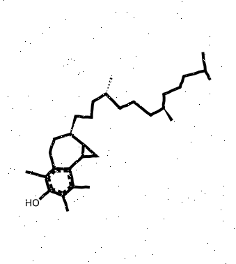 Cc1c(C)c2c(c(C)c1O)CC[C@@H](CCC[C@H](C)CCC[C@H](C)CCCC(C)C)C1CC21